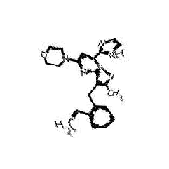 C=Cc1ccccc1Cc1c(C)nn2c(-c3ncc[nH]3)cc(N3CCOCC3)nc12